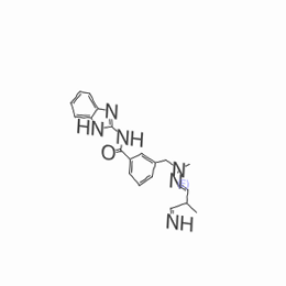 CC(C=N)/C=N/N(C)Cc1cccc(C(=O)Nc2nc3ccccc3[nH]2)c1